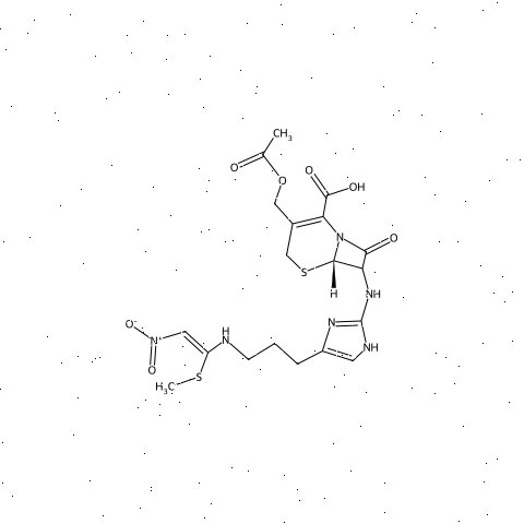 CSC(=C[N+](=O)[O-])NCCCc1c[nH]c(NC2C(=O)N3C(C(=O)O)=C(COC(C)=O)CS[C@@H]23)n1